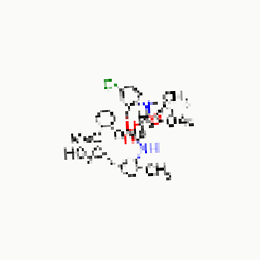 COc1cccc([C@H]2O[C@H](CC(=O)Nc3cc(CCC(=O)O)ccc3C)C(=O)N(CC(C)(C)COC(C)=O)c3ccc(Cl)cc32)c1OC